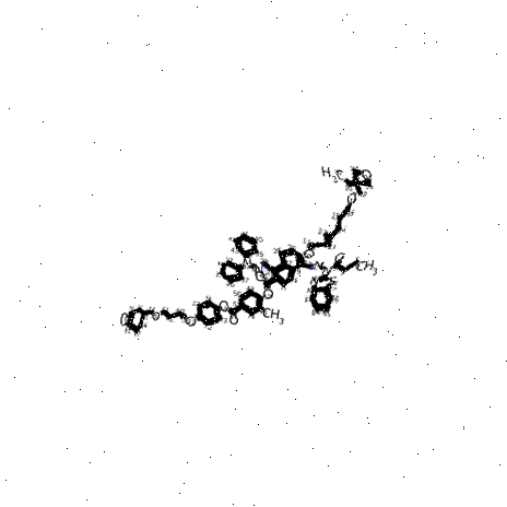 CCCC(=O)N(/N=C/c1c(OCCCCCCOCC2(CC)COC2)ccc2c(/C=N/N(c3ccccc3)c3ccccc3)c(C(=O)Oc3ccc(C(=O)Oc4ccc(OCCCOCC5CCC6OC6C5)cc4)cc3C)ccc12)c1nc2ccccc2s1